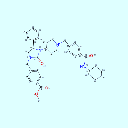 COC(=O)c1ccc(CN2C[C@@H](c3ccccc3)N(C3CCN(Cc4ccc(C(=O)NC5CCCCC5)cc4)CC3)C2=O)cc1